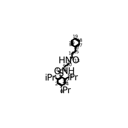 CC(C)c1cc(C(C)C)c([S+]([O-])NCCNC(=O)CCc2ccccc2)c(C(C)C)c1